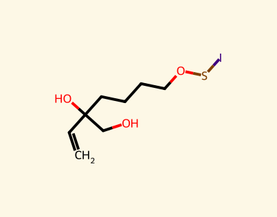 C=CC(O)(CO)CCCCOSI